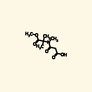 COC(=O)C(C)(C)N(C)C(=O)CC(=O)O